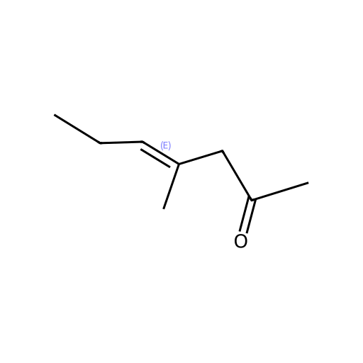 CC/C=C(\C)CC(C)=O